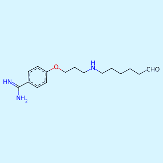 N=C(N)c1ccc(OCCCNCCCCCC=O)cc1